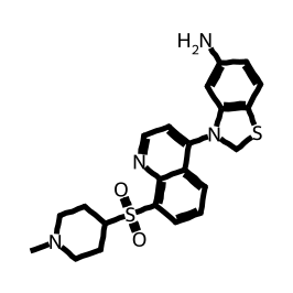 CN1CCC(S(=O)(=O)c2cccc3c(N4CSc5ccc(N)cc54)ccnc23)CC1